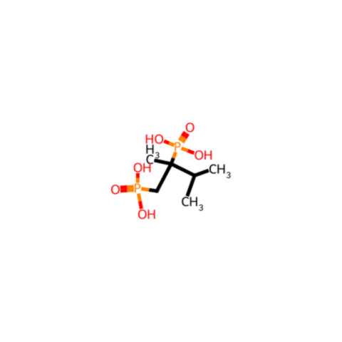 CC(C)C(C)(CP(=O)(O)O)P(=O)(O)O